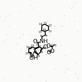 CC(=O)O[O-].O=C(NCCC1CCCCC1)c1c(Cl)ccc2c1ccc[n+]2O